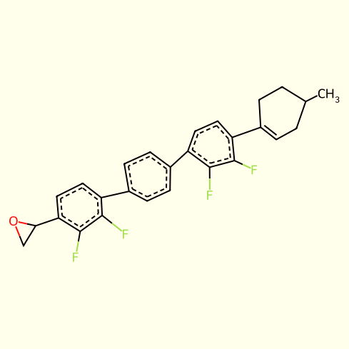 CC1CC=C(c2ccc(-c3ccc(-c4ccc(C5CO5)c(F)c4F)cc3)c(F)c2F)CC1